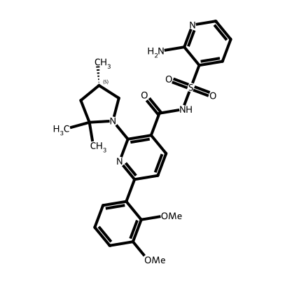 COc1cccc(-c2ccc(C(=O)NS(=O)(=O)c3cccnc3N)c(N3C[C@@H](C)CC3(C)C)n2)c1OC